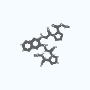 CC(C)(C)OC(=O)C1CCCN1C(=O)COc1cc2ccccc2cc1OCC(=O)N1CCCC1C(=O)OC(C)(C)C